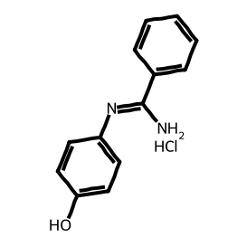 Cl.NC(=Nc1ccc(O)cc1)c1ccccc1